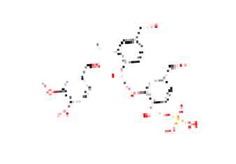 COc1cc(C=O)ccc1O.COc1cc(C=O)ccc1O.COc1cc(C=O)ccc1O.O=P(O)(O)O